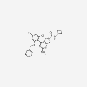 Nc1nc2c(c(-c3c(Cl)cc(Cl)cc3OCc3ccccc3)n1)CN(C(=O)NC1=CC=C1)C2